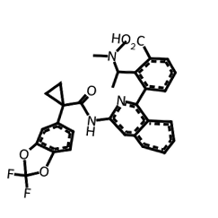 CC(c1c(C(=O)O)cccc1-c1nc(NC(=O)C2(c3ccc4c(c3)OC(F)(F)O4)CC2)cc2ccccc12)N(C)C